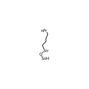 CCCCCC[CH2][Sn][O][SnH]